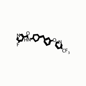 O=C(NC1CCC(=Cc2cccc(Oc3ccc(C(F)(F)F)cn3)c2)CC1)c1cncc(F)c1